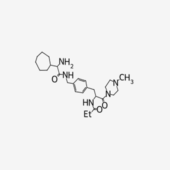 CCC(=O)NC(Cc1ccc(CNC(=O)C(N)C2CCCCCC2)cc1)C(=O)N1CCN(C)CC1